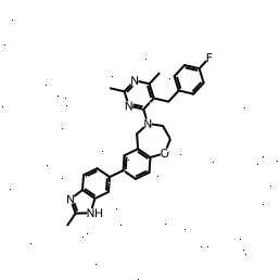 Cc1nc(C)c(Cc2ccc(F)cc2)c(N2CCOc3ccc(-c4ccc5nc(C)[nH]c5c4)cc3C2)n1